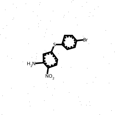 Nc1cc(Sc2ccc(Br)cc2)ccc1[N+](=O)[O-]